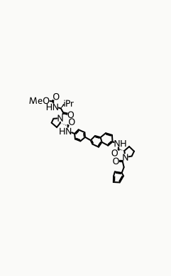 COC(=O)N[C@H](C(=O)N1CCC[C@H]1C(=O)Nc1ccc(-c2ccc3cc(NC(=O)[C@@H]4CCCN4C(=O)Cc4ccccc4)ccc3c2)cc1)C(C)C